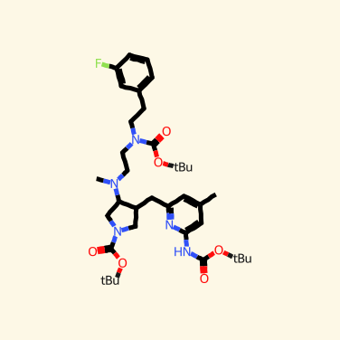 Cc1cc(CC2CN(C(=O)OC(C)(C)C)CC2N(C)CCN(CCc2cccc(F)c2)C(=O)OC(C)(C)C)nc(NC(=O)OC(C)(C)C)c1